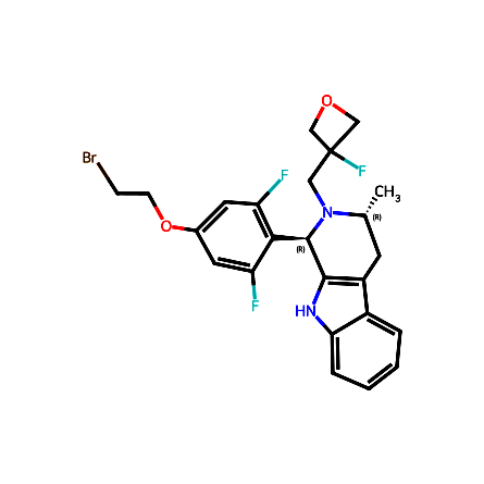 C[C@@H]1Cc2c([nH]c3ccccc23)[C@@H](c2c(F)cc(OCCBr)cc2F)N1CC1(F)COC1